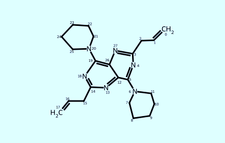 C=CCc1nc(N2CCCCC2)c2nc(CC=C)nc(N3CCCCC3)c2n1